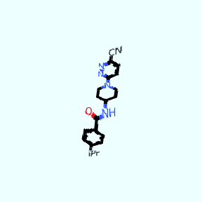 CC(C)c1ccc(C(=O)NC2CCN(c3ccc(C#N)nn3)CC2)cc1